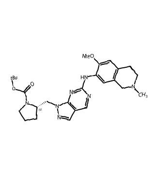 COc1cc2c(cc1Nc1ncc3cnn(C[C@@H]4CCCN4C(=O)OC(C)(C)C)c3n1)CN(C)CC2